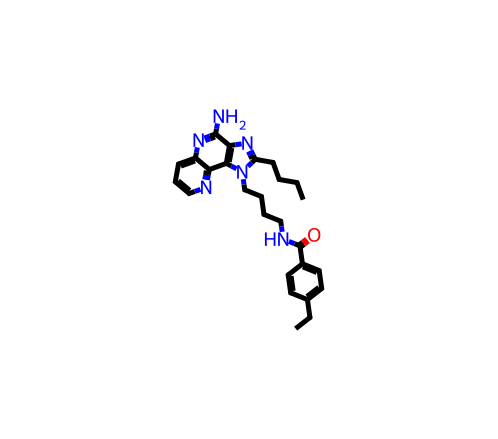 CCCCc1nc2c(N)nc3cccnc3c2n1CCCCNC(=O)c1ccc(CC)cc1